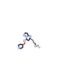 C=CCCc1cc(OCc2ccncc2)n2nccc2n1